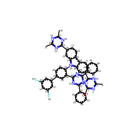 Cc1nc(C)nc(-c2ccc3c4ccc(-c5nc(C)nc(C)n5)cc4n(-c4ccc(-c5cc(F)cc(F)c5)cc4-c4nc(-c5ccccc5)nc(-c5ccccc5)n4)c3c2)n1